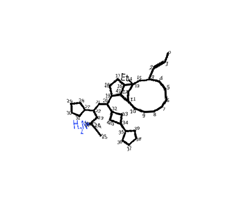 CC=CC1CCCCCCCC2CC(CC)(C1)C1CCC(C(CC(CC(C)N)C3CCCC3)C3CC(C4CCCC4)C3)C21